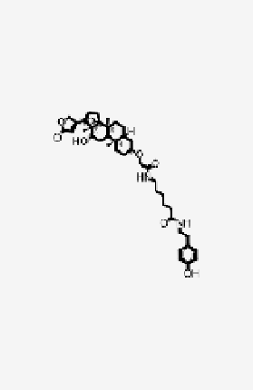 C[C@]12[C@H](O)CC3[C@@]4(C)CC[C@H](OCC(=O)NCCCCCC(=O)NCCc5ccc(O)cc5)C[C@H]4CC[C@@]3(C)[C@@]1(O)CC[C@@H]2C1=CC(=O)OC1